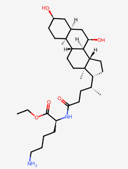 CCOC(=O)[C@H](CCCCN)NC(=O)CC[C@@H](C)[C@H]1CC[C@H]2[C@@H]3[C@H](O)C[C@@H]4C[C@H](O)CC[C@]4(C)[C@H]3CC[C@]12C